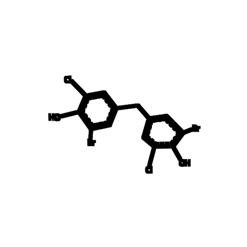 Oc1c(Cl)cc(Cc2cc(Cl)c(O)c(Br)c2)cc1Br